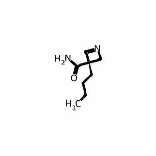 CCCC[C@@]1(C(N)=O)C=NC1